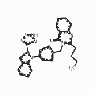 CCCCc1nc2ccccc2c(=O)n1Cc1ccc(-n2c(-c3nn[nH]n3)cc3ccccc32)cc1